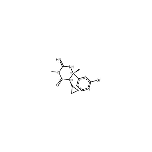 CN1C(=N)N[C@](C)(c2ccnc(Br)c2)[C@@H](C2CC2)C1=O